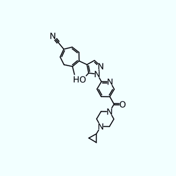 CC1=C(c2cnn(-c3ccc(C(=O)N4CCN(C5CC5)CC4)cn3)c2O)C=CC(C#N)=CC1